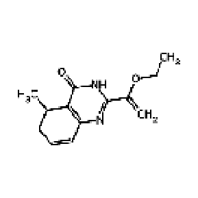 C=C(OCC)c1nc2c(c(=O)[nH]1)C(C)CC=C2